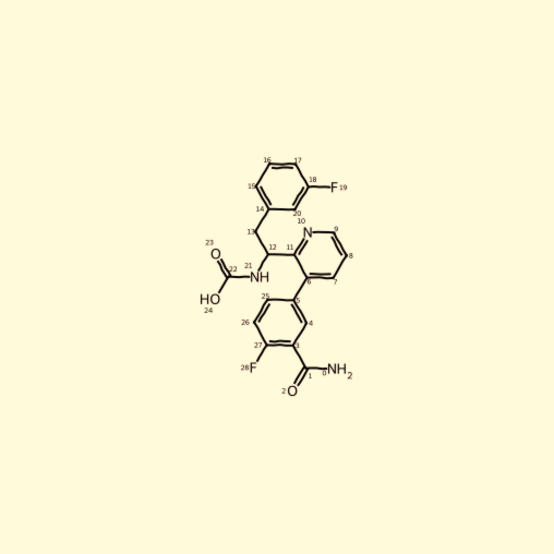 NC(=O)c1cc(-c2cccnc2C(Cc2cccc(F)c2)NC(=O)O)ccc1F